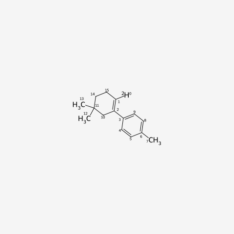 [2H]C1=C(c2ccc(C)cc2)CC(C)(C)CC1